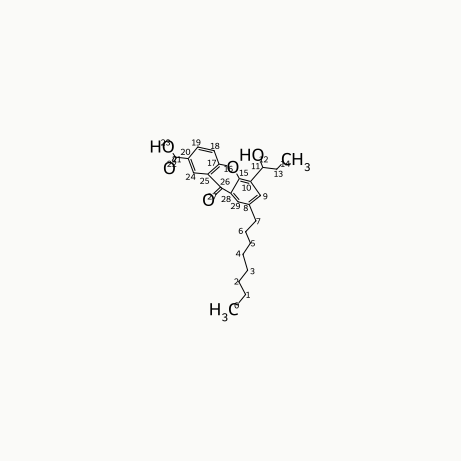 CCCCCCCCc1cc(C(O)CC)c2oc3ccc(C(=O)O)cc3c(=O)c2c1